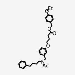 CCOc1ccc(COC(=O)CCCOc2cccc(CN(CCCCc3ccccc3)C(C)=O)c2)cc1